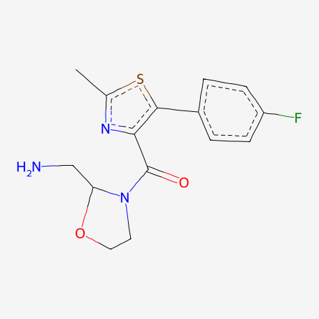 Cc1nc(C(=O)N2CCOC2CN)c(-c2ccc(F)cc2)s1